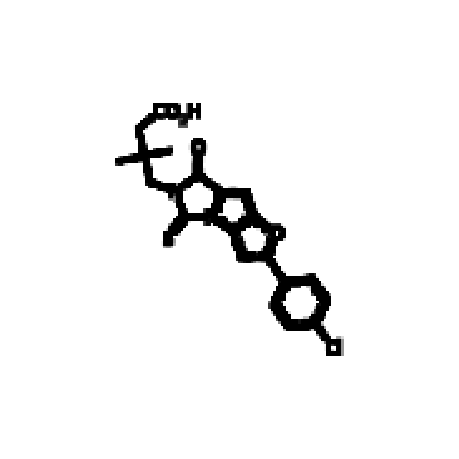 CC(C)(CC(=O)O)CN1C(=O)c2cc3oc(-c4ccc(Cl)cc4)cc3n2C1=S